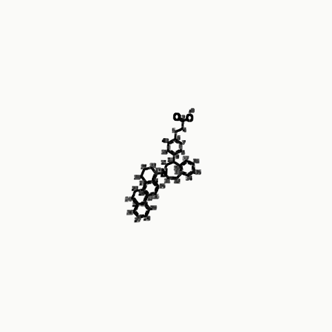 COC(=O)CCc1ccc(C2CN(C3=c4ccc5c(c4CCC3)CC=c3ccccc3=5)C=Cc3c[c]ccc32)cc1